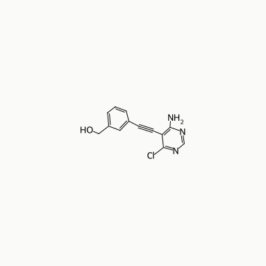 Nc1ncnc(Cl)c1C#Cc1cccc(CO)c1